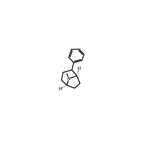 CN1[C@@H]2CCC(c3ccccc3)[C@H]1CC2